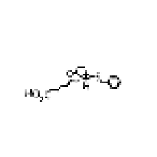 O=C(O)CCCC=CC[C@]12C(=O)CC[C@]13C(SCc1ccccc1)[C@@H]23